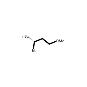 CCCC[C@@H](CC)CCOC